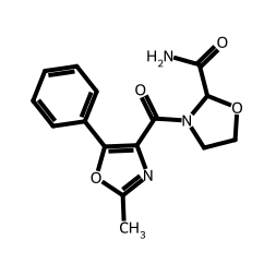 Cc1nc(C(=O)N2CCOC2C(N)=O)c(-c2ccccc2)o1